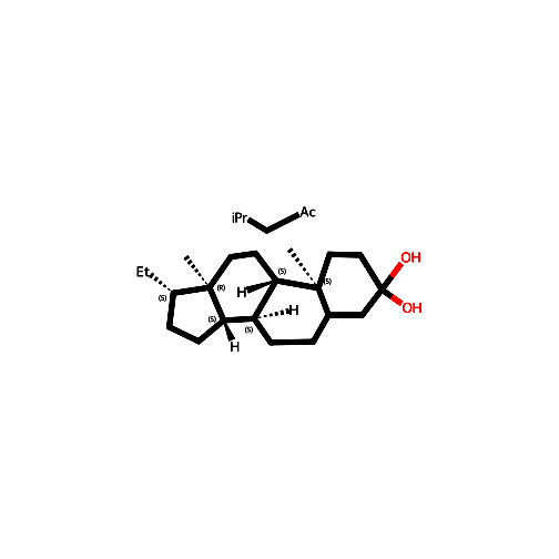 CC(=O)CC(C)C.CC[C@H]1CC[C@H]2[C@@H]3CCC4CC(O)(O)CC[C@]4(C)[C@H]3CC[C@]12C